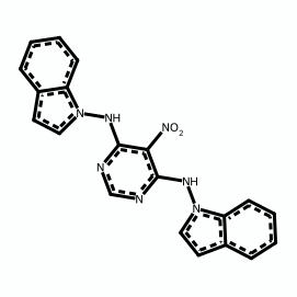 O=[N+]([O-])c1c(Nn2ccc3ccccc32)ncnc1Nn1ccc2ccccc21